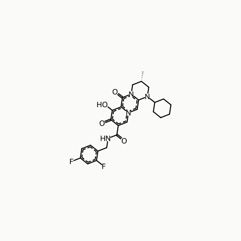 C[C@@H]1CN(C2CCCCC2)c2cn3cc(C(=O)NCc4ccc(F)cc4F)c(=O)c(O)c3c(=O)n2C1